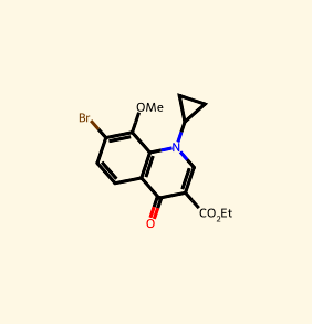 CCOC(=O)c1cn(C2CC2)c2c(OC)c(Br)ccc2c1=O